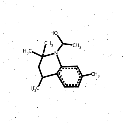 Cc1ccc2c(c1)N(C(C)O)C(C)(C)CC2C